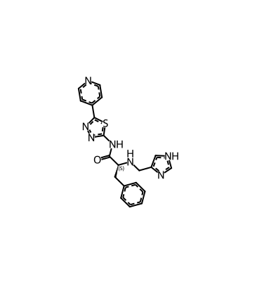 O=C(Nc1nnc(-c2ccncc2)s1)[C@H](Cc1ccccc1)NCc1c[nH]cn1